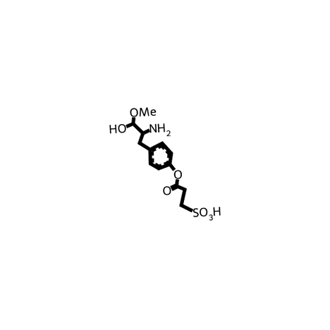 COC(O)C(N)Cc1ccc(OC(=O)CCS(=O)(=O)O)cc1